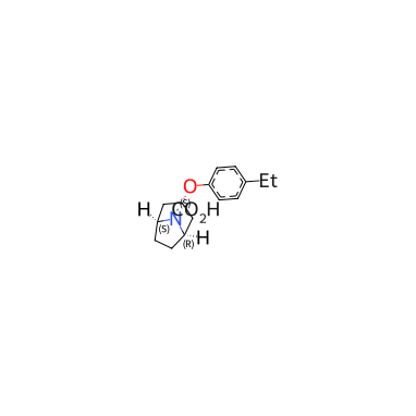 CCc1ccc(O[C@@H]2C[C@H]3CC[C@@H](C2)N3C(=O)O)cc1